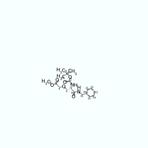 COC(=O)COC[C@H](NC(=O)OC(C)(C)C)C(=O)NCc1ccccc1